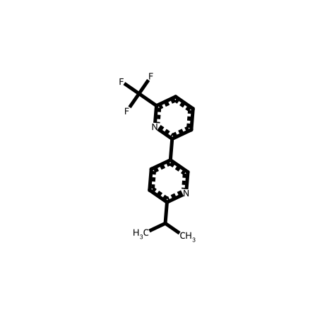 CC(C)c1ccc(-c2cccc(C(F)(F)F)n2)cn1